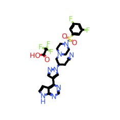 N#CCC(CN1CCN(S(=O)(=O)c2cc(F)cc(F)c2)CC1)n1cc(-c2ncnc3[nH]ccc23)cn1.O=C(O)C(F)(F)F